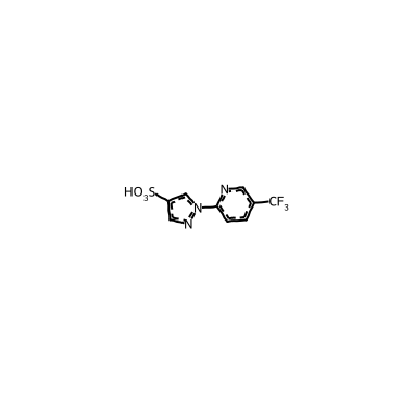 O=S(=O)(O)c1cnn(-c2ccc(C(F)(F)F)cn2)c1